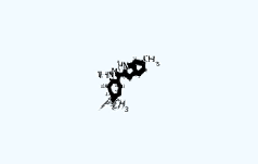 Cc1ccc2cc(-c3n[nH]c4c3CCC(C)(F)CC4)[nH]c2c1